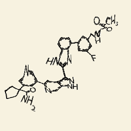 CS(=O)(=O)NCc1cc(F)cc(-c2cccc3[nH]c(-c4n[nH]c5cnc(-c6cncc(C7(C(N)=O)CCCC7)c6)cc45)nc23)c1